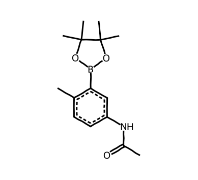 CC(=O)Nc1ccc(C)c(B2OC(C)(C)C(C)(C)O2)c1